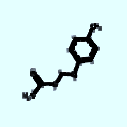 Cc1ccc(OCOC(N)=O)cc1